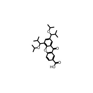 CC(C)OC(c1cc(C(OC(C)C)C(C)C)c2oc3ccc(C(=O)O)cc3c(=O)c2c1)C(C)C